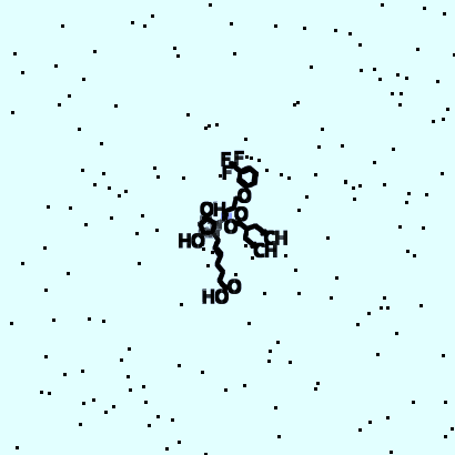 C#CCC(CC#C)C(=O)OC(/C=C/[C@@H]1[C@@H](CC=CCCCC(=O)O)[C@@H](O)C[C@H]1O)COc1cccc(C(F)(F)F)c1